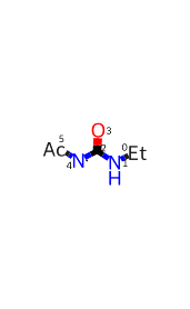 CCNC(=O)[N]C(C)=O